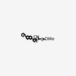 COCCOCCOc1nccc(-c2ccc3cc(N4CCCCC4)ccc3c2)c1C#N